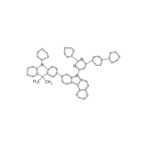 CC1(C)c2ccccc2N(c2ccccc2)c2ccc(-c3ccc4c5c6ccccc6ccc5n(-c5cc(-c6ccc(-c7ccccc7)cc6)nc(-c6ccccc6)n5)c4c3)cc21